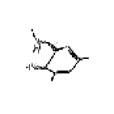 CN/C=C1/C=C(C)C=C(C)C1=N